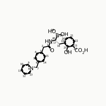 O=C(Cc1ccc(C[n+]2ccccc2)cc1)N[C@@H](Cc1cccc(C(=O)O)c1O)B(O)O